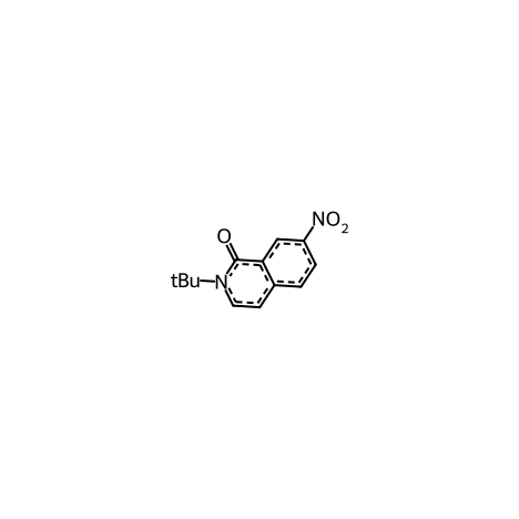 CC(C)(C)n1ccc2ccc([N+](=O)[O-])cc2c1=O